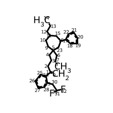 C=C(CCCC1(CCC)CCC(CCC)CC(c2ccccc2)C1)c1ccccc1CC(F)F